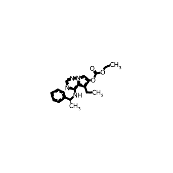 CCOC(=O)Oc1cn2ncnc(N[C@H](C)c3ccccc3)c2c1CC